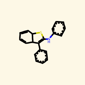 C1=CC2SC(Nc3ccccc3)=C(c3ccccc3)C2C=C1